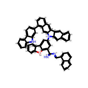 N=C(/N=C/c1cccc2ccccc12)c1cc(-n2c3cc4ccccc4cc3c3cc4cccc(-c5ccc6c(c5)[nH]c5ccccc56)c4cc32)cc2c1oc1ccccc12